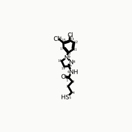 O=C(CCCS)NC1=NN(c2ccc(Cl)c(Cl)c2)CC1